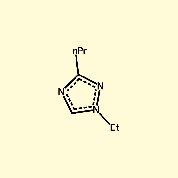 CCCc1ncn(CC)n1